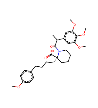 COc1ccc(CCCC[C@@]2(C(=O)O)CCCCN2C(=O)C(C)c2cc(OC)c(OC)c(OC)c2)cc1